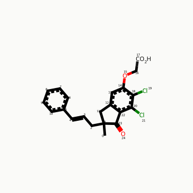 CC1(CC=Cc2ccccc2)Cc2cc(OCC(=O)O)c(Cl)c(Cl)c2C1=O